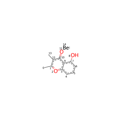 Cc1oc2cccc(O)c2c(=O)c1C.[Be]